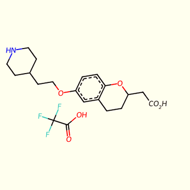 O=C(O)C(F)(F)F.O=C(O)CC1CCc2cc(OCCC3CCNCC3)ccc2O1